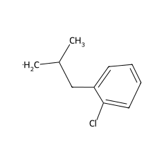 [CH2]C(C)Cc1ccccc1Cl